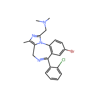 Cc1nc(CN(C)C)n2c1CN=C(c1ccccc1Cl)c1cc(Br)ccc1-2